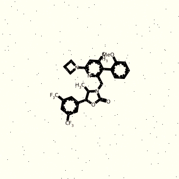 COc1ccccc1-c1c(C)cc(N2CCC2)nc1CN1C(=O)OC(c2cc(C(F)(F)F)cc(C(F)(F)F)c2)C1C